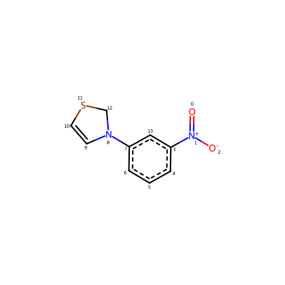 O=[N+]([O-])c1cccc(N2C=CSC2)c1